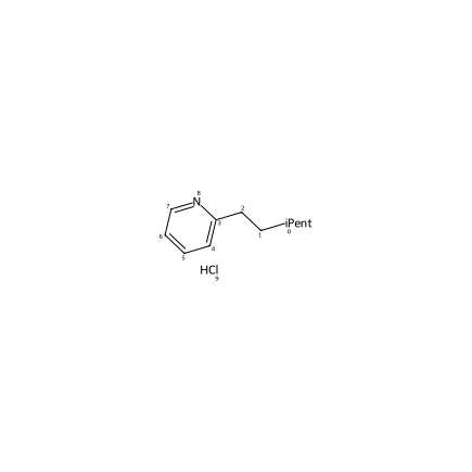 CCCC(C)CCc1ccccn1.Cl